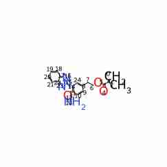 C=C(C)C(=O)OCCc1ccc(ON)c(-n2nc3ccccc3n2)c1